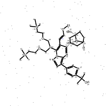 CCO/C=C/c1c([C@H]2C[C@@H]3CC[C@](C(C)(C)C)(C2)N3C(=O)O)nc2c(-c3ccc(C(C)(C)O)nc3)cnn2c1N(COCC[Si](C)(C)C)COCC[Si](C)(C)C